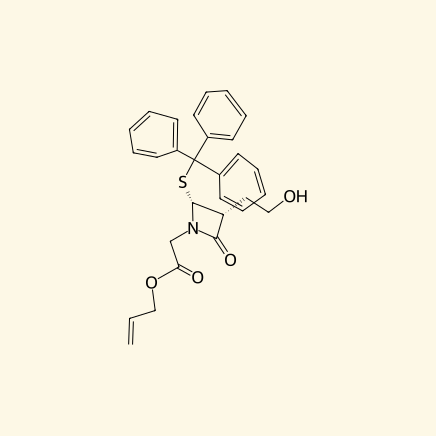 C=CCOC(=O)CN1C(=O)[C@@H](CCO)[C@H]1SC(c1ccccc1)(c1ccccc1)c1ccccc1